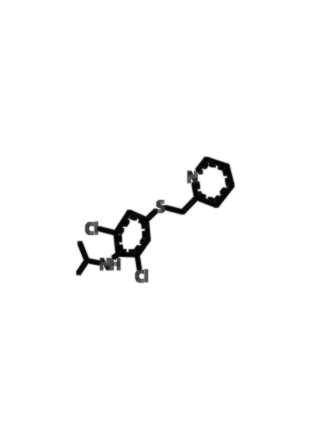 CC(C)Nc1c(Cl)cc(SCc2ccccn2)cc1Cl